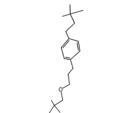 CC(C)(C)CCc1ccc(CCCOCC(C)(C)C)cc1